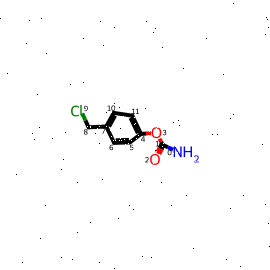 NC(=O)Oc1ccc(CCl)cc1